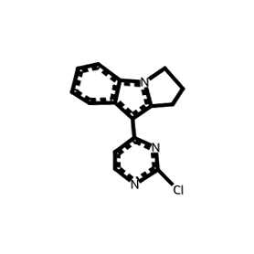 Clc1nccc(-c2c3n(c4ccccc24)CCC3)n1